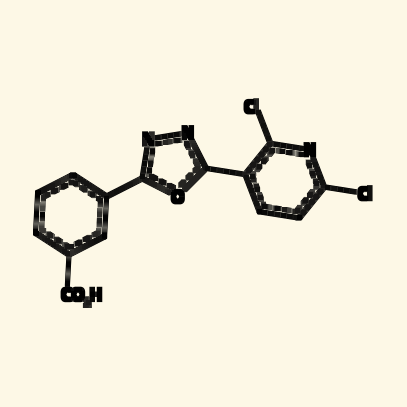 O=C(O)c1cccc(-c2nnc(-c3ccc(Cl)nc3Cl)o2)c1